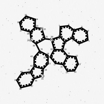 c1ccc2c(c1)ccc1c2c2c3ccccc3ccc2n1-c1nc2ccccc2nc1-c1ccc2oc3ccccc3c2c1